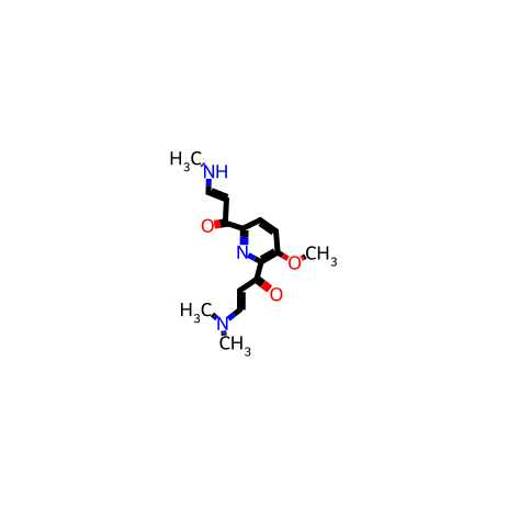 CN/C=C/C(=O)c1ccc(OC)c(C(=O)/C=C/N(C)C)n1